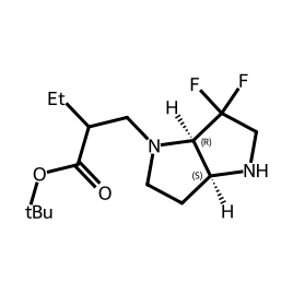 CCC(CN1CC[C@@H]2NCC(F)(F)[C@@H]21)C(=O)OC(C)(C)C